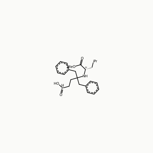 COC(=O)[C@H](CC(C)C)NC(CC[PH](=O)O)(Cc1ccccc1)Cc1ccccc1